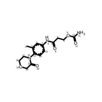 Cc1cc(NC(=O)CCOC(N)=O)ccc1N1CCOCC1=O